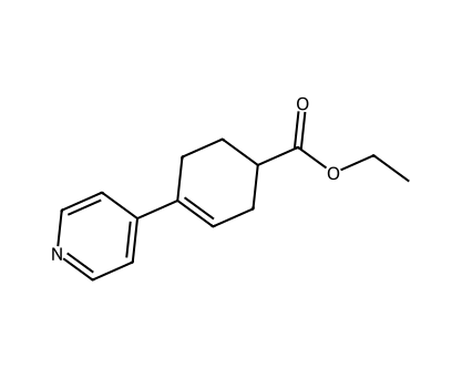 CCOC(=O)C1CC=C(c2ccncc2)CC1